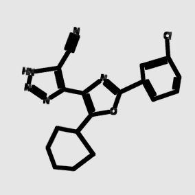 N#Cc1[nH]nnc1-c1nc(-c2cccc(Cl)c2)oc1C1CCCCC1